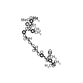 CC[C@H](C(=O)N1CCCC[C@H]1C(=O)O[C@H](CCc1ccc(C)c(C)c1)c1cccc(OCC(=O)NCCOCCOCCC(=O)NCCOc2ccc(CCc3nc4cc(-c5c(C)noc5C)ccc4n3C[C@H](C)N3CCOCC3)cc2Cl)c1)c1cc(C)c(OC)c(OC)c1